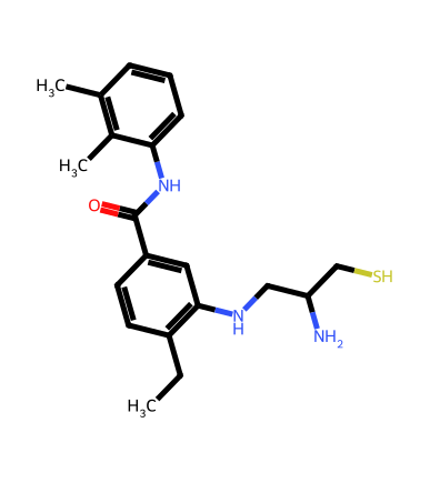 CCc1ccc(C(=O)Nc2cccc(C)c2C)cc1NCC(N)CS